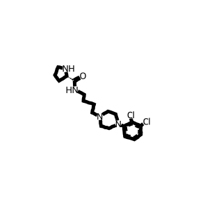 O=C(NCCCCN1CCN(c2cccc(Cl)c2Cl)CC1)[C@@H]1CCCN1